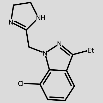 CCc1nn(CC2=NCCN2)c2c(Cl)cccc12